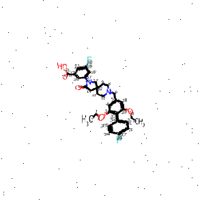 CCOc1cc(CN2CCC3(CC2)CC(=O)N(c2cc(F)cc(C(=O)O)c2)C3)cc(OCC)c1-c1ccc(F)cc1